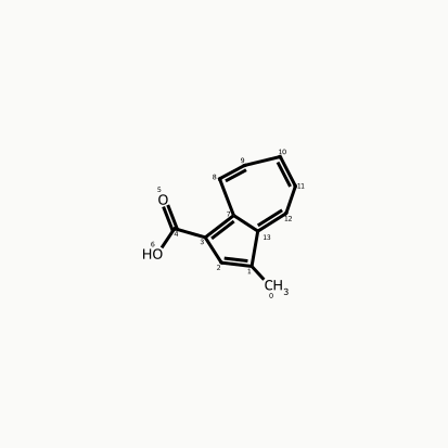 Cc1cc(C(=O)O)c2cccccc1-2